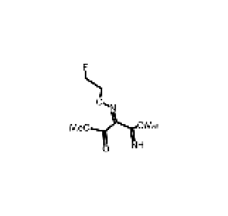 COC(=N)C(=NOCCF)C(=O)OC